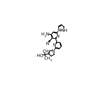 CC(C)(O)C1CCN(c2cccc(-c3nc(N4C=CCN4)cc(N)c3C#N)n2)C1